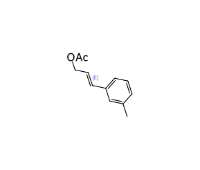 CC(=O)OC/C=C/c1cccc(C)c1